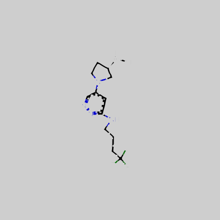 C[AsH][C@@H]1CCN(c2cnnc(NCCCC(F)(F)F)c2)C1